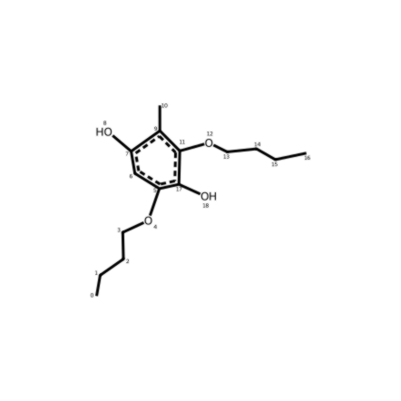 CCCCOc1cc(O)c(C)c(OCCCC)c1O